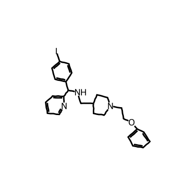 Ic1ccc(C(NCC2CCN(CCOc3ccccc3)CC2)c2ccccn2)cc1